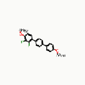 CCCCCCOc1ccc(-c2ccc(-c3ccc(OCCCCC)cc3)cc2)c(F)c1F